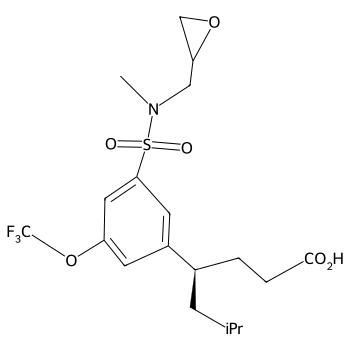 CC(C)C[C@H](CCC(=O)O)c1cc(OC(F)(F)F)cc(S(=O)(=O)N(C)CC2CO2)c1